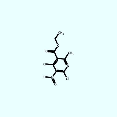 CCOC(=O)c1c(C)nc(Cl)c([N+](=O)[O-])c1Cl